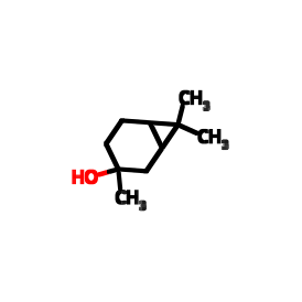 CC1(O)CCC2C(C1)C2(C)C